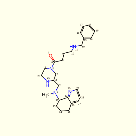 CN(CC1CN(C(=O)CCCNCc2ccccc2)CCN1)C1CCCc2cccnc21